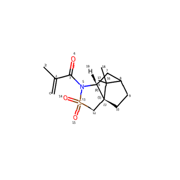 C=C(C)C(=O)N1[C@@H]2CC3CC[C@]2(CS1(=O)=O)C3(C)C